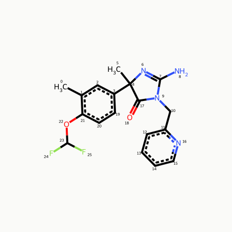 Cc1cc(C2(C)N=C(N)N(Cc3ccccn3)C2=O)ccc1OC(F)F